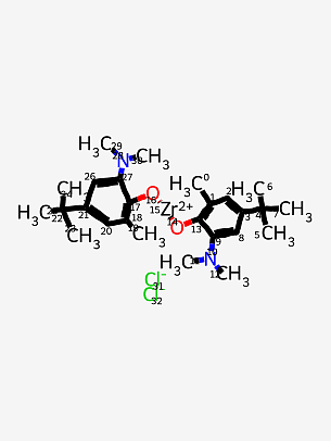 Cc1cc(C(C)(C)C)cc(N(C)C)c1[O][Zr+2][O]c1c(C)cc(C(C)(C)C)cc1N(C)C.[Cl-].[Cl-]